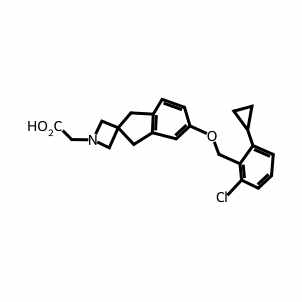 O=C(O)CN1CC2(Cc3ccc(OCc4c(Cl)cccc4C4CC4)cc3C2)C1